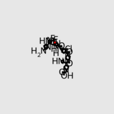 Nc1ccc(-c2[nH]nc(C(F)(F)F)c2Cc2cnc(C(=O)Nc3ccc(C(=O)N4CCN(C(=O)C(C5CCN(CC(=O)O)CC5)C5CNC5)CC4)c(Cl)c3)[nH]2)nc1